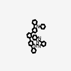 c1ccc(-n2c3ccccc3c3cc(-c4cccc(-c5ccc6c7ccccc7n(-c7nc8ccccc8c8nc9ccccc9n78)c6c5)c4)ccc32)cc1